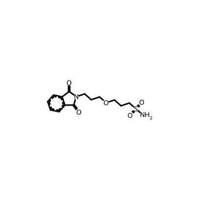 NS(=O)(=O)CCCOCCCN1C(=O)c2ccccc2C1=O